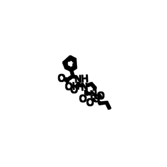 CCCS(=O)(=O)N1CCN(C(=O)NC(C(=O)O)c2ccccc2)C1=O